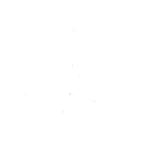 CCC(C)OP(=O)(O)C(O[Si](C)(C)C)(C(=O)C12CC3C=C1CC(C3)C2)c1ccc(OC)c(C)c1